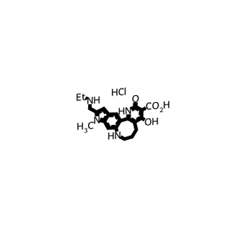 CCNCc1cc2cc3c(cc2n1C)NCCCc1c-3[nH]c(=O)c(C(=O)O)c1O.Cl